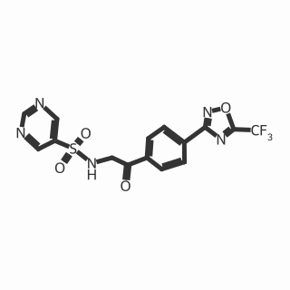 O=C(CNS(=O)(=O)c1cncnc1)c1ccc(-c2noc(C(F)(F)F)n2)cc1